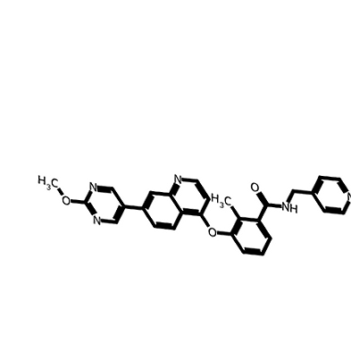 COc1ncc(-c2ccc3c(Oc4cccc(C(=O)NCc5ccncc5)c4C)ccnc3c2)cn1